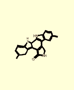 CC1=CC=C2NC3C(=C2C1)C1=C(CNC1=O)c1c3[nH]c2ccc(C)cc12